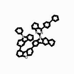 c1ccc(-c2ccc(-c3nc(-n4c5ccc(-c6ccc7oc8cccc(-c9ccc%10c(c9)c9ccccc9n%10-c9ccccc9)c8c7c6)cc5c5cc6ccccc6cc54)nc4ccccc34)cc2)cc1